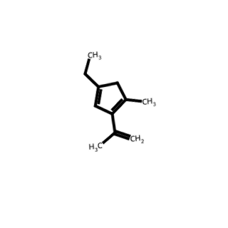 C=C(C)C1=C(C)CC(CC)=C1